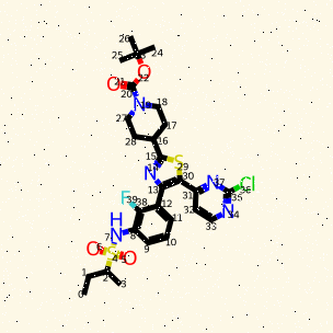 CCC(C)S(=O)(=O)Nc1cccc(-c2nc(C3CCN(C(=O)OC(C)(C)C)CC3)sc2-c2ccnc(Cl)n2)c1F